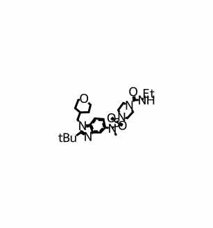 CCNC(=O)N1CCN(S(=O)(=O)N(C)c2ccc3c(c2)nc(C(C)(C)C)n3CC2CCOCC2)CC1